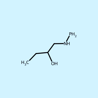 CCC(O)CNP